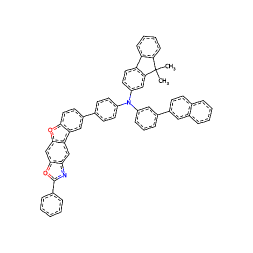 CC1(C)c2ccccc2-c2ccc(N(c3ccc(-c4ccc5oc6cc7oc(-c8ccccc8)nc7cc6c5c4)cc3)c3cccc(-c4ccc5ccccc5c4)c3)cc21